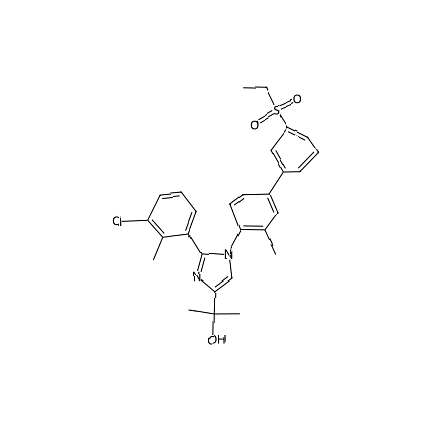 CCS(=O)(=O)c1cccc(-c2ccc(-n3cc(C(C)(C)O)nc3-c3cccc(Cl)c3C)c(C)c2)c1